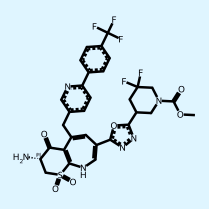 COC(=O)N1CC(c2nnc(C3=CNC4=C(C(=O)[C@@H](N)CS4(=O)=O)C(Cc4ccc(-c5ccc(C(F)(F)F)cc5)nc4)=C3)o2)CC(F)(F)C1